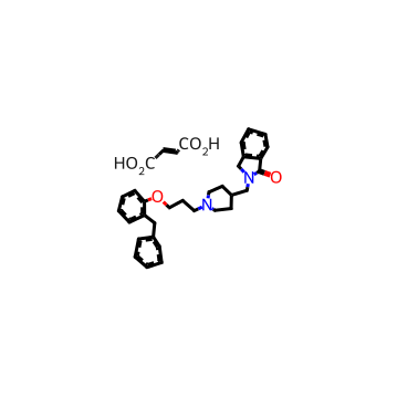 O=C(O)C=CC(=O)O.O=C1c2ccccc2CN1CC1CCN(CCCOc2ccccc2Cc2ccccc2)CC1